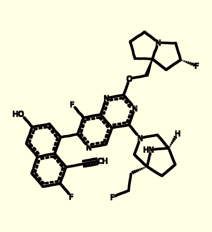 C#Cc1c(F)ccc2cc(O)cc(-c3ncc4c(N5C[C@H]6CC[C@@](CCF)(C5)N6)nc(OC[C@@]56CCCN5C[C@H](F)C6)nc4c3F)c12